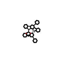 c1ccc(-c2cc(-c3ccccc3)cc(-n3c4ccccc4c4c(-c5ccccc5)cc5c(c43)C(c3ccccc3)c3ccccc3-5)c2)cc1